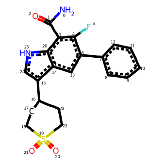 NC(=O)c1c(F)c(-c2ccccc2)cc2c(C3CCS(=O)(=O)CC3)c[nH]c12